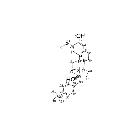 CSc1cc2c(cc1O)CCC1C2CCC2(C)C1CCC2(O)Cc1ccc(C(C)(C)C)cc1